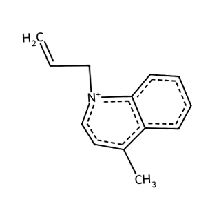 C=CC[n+]1ccc(C)c2ccccc21